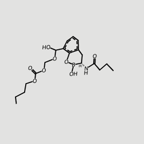 CCCCOC(=O)OCOC(O)c1cccc2c1OB(O)[C@@H](NC(=O)CCC)C2